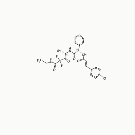 CC(C)[C@H](NC(=O)[C@@H](NC(=O)C=Cc1ccc(Cl)cc1)c1ccccc1)C(=O)C(F)(F)C(=O)NCC(F)(F)F